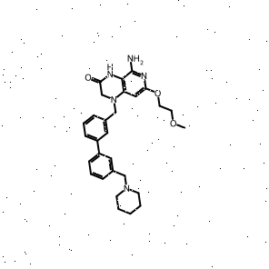 COCCOc1cc2c(c(N)n1)NC(=O)CN2Cc1cccc(-c2cccc(CN3CCCCC3)c2)c1